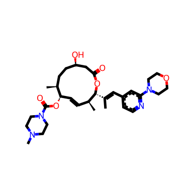 C/C(=C\c1ccnc(N2CCOCC2)c1)[C@H]1OC(=O)C[C@H](O)CC[C@H](C)[C@@H](OC(=O)N2CCN(C)CC2)/C=C/[C@@H]1C